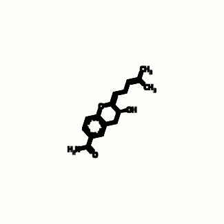 CC(C)=CC/C=C1/Oc2ccc(C(N)=O)cc2C[C@@H]1O